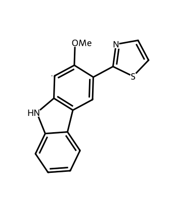 COc1[c]c2[nH]c3ccccc3c2cc1-c1nccs1